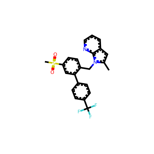 Cc1cc2cccnc2n1Cc1ccc(S(C)(=O)=O)cc1-c1ccc(C(F)(F)F)cc1